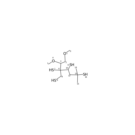 COCC(OC)C(S)(CS)C(S)CC(C)(C)S